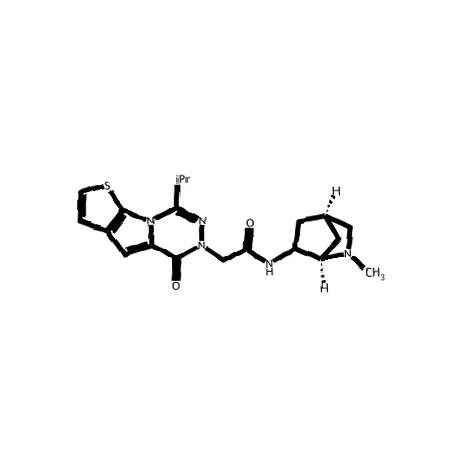 CC(C)c1nn(CC(=O)NC2C[C@@H]3C[C@H]2N(C)C3)c(=O)c2cc3ccsc3n12